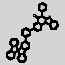 O=c1c2cc(-c3cccc(-c4ccc5c(c4)C4(c6ccccc6-c6ccccc64)c4ccccc4-5)c3)ccc2n2c3ccccc3nc2n1-c1ccccc1